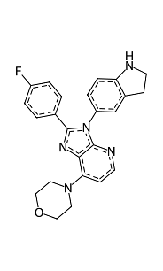 Fc1ccc(-c2nc3c(N4CCOCC4)ccnc3n2-c2ccc3c(c2)CCN3)cc1